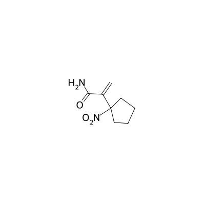 C=C(C(N)=O)C1([N+](=O)[O-])CCCC1